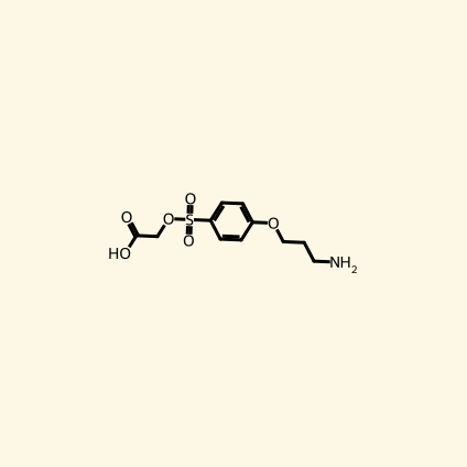 NCCCOc1ccc(S(=O)(=O)OCC(=O)O)cc1